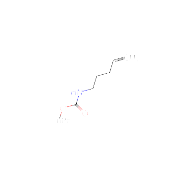 C=CCCCNC(=O)OCCC